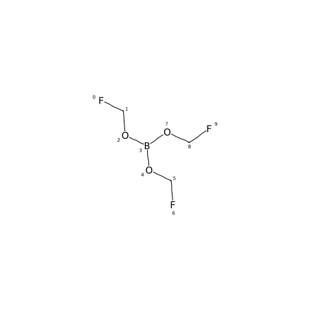 FCOB(OCF)OCF